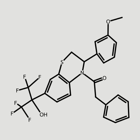 COc1cccc(C2CSc3cc(C(O)(C(F)(F)F)C(F)(F)F)ccc3N2C(=O)Cc2ccccc2)c1